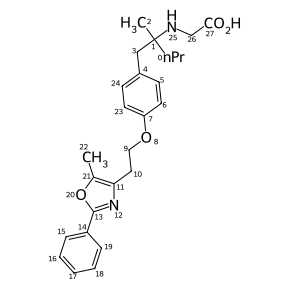 CCCC(C)(Cc1ccc(OCCc2nc(-c3ccccc3)oc2C)cc1)NCC(=O)O